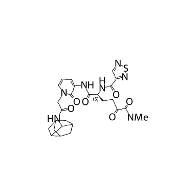 CNC(=O)C(=O)CC[C@H](NC(=O)c1cnsn1)C(=O)Nc1cccn(CC(=O)NC2C3CC4CC(C3)C2C4)c1=O